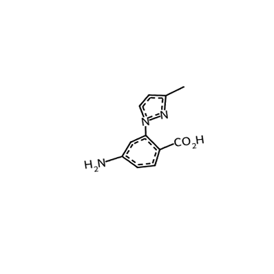 Cc1ccn(-c2cc(N)ccc2C(=O)O)n1